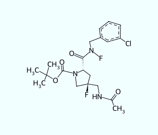 CC(=O)NC[C@@]1(F)C[C@@H](C(=O)N(F)Cc2cccc(Cl)c2)N(C(=O)OC(C)(C)C)C1